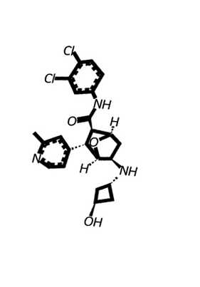 Cc1cc([C@H]2[C@H]3O[C@H](C[C@H]3N[C@H]3C[C@H](O)C3)[C@@H]2C(=O)Nc2ccc(Cl)c(Cl)c2)ccn1